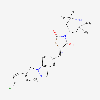 CC1(C)CC(N2C(=O)S/C(=C\c3ccc4c(cnn4Cc4ccc(Cl)cc4C(F)(F)F)c3)C2=O)CC(C)(C)N1